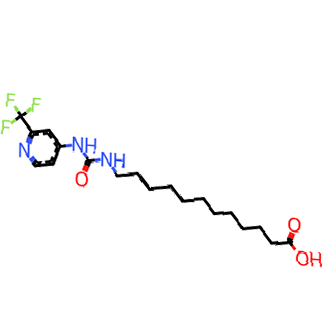 O=C(O)CCCCCCCCCCCNC(=O)Nc1ccnc(C(F)(F)F)c1